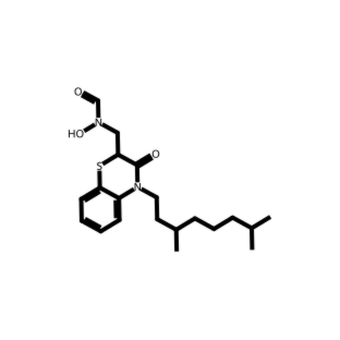 CC(C)CCCC(C)CCN1C(=O)C(CN(O)C=O)Sc2ccccc21